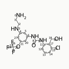 NCCNc1cc(NC(=O)Nc2cccc(Cl)c2CO)cc(OC(F)(F)F)c1